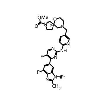 COC(=O)N1CC[C@@]2(CN(Cc3ccc(Nc4ncc(F)c(-c5cc(F)c6nc(C)n(C(C)C)c6c5)n4)nc3)CCO2)C1